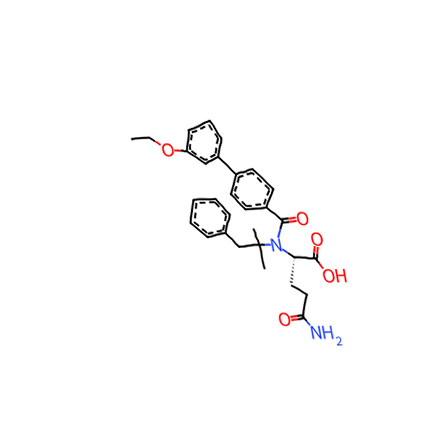 CCOc1cccc(-c2ccc(C(=O)N([C@@H](CCC(N)=O)C(=O)O)C(C)(C)Cc3ccccc3)cc2)c1